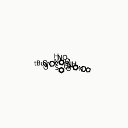 CC(C)(C)OC(=O)N1CCC(CSc2ccccc2)(Nc2ccc(S(=O)(=O)NC(=O)c3ccc(N4CCC5(CCCC5)CC4)cc3)cc2[N+](=O)[O-])CC1